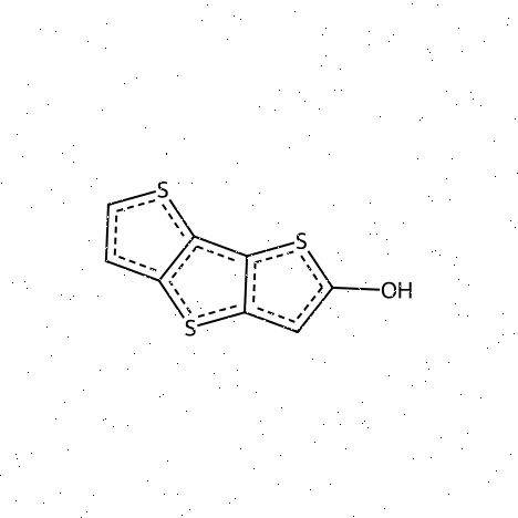 Oc1cc2sc3ccsc3c2s1